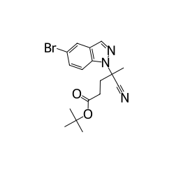 CC(C)(C)OC(=O)CCC(C)(C#N)n1ncc2cc(Br)ccc21